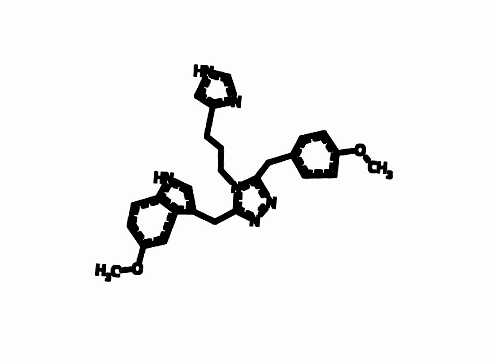 COc1ccc(Cc2nnc(Cc3c[nH]c4ccc(OC)cc34)n2CCCc2c[nH]cn2)cc1